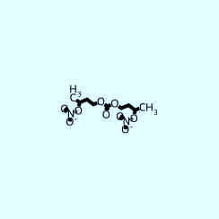 CC(CCOC(=O)OCCC(C)O[N+](=O)[O-])O[N+](=O)[O-]